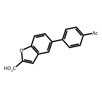 CC(=O)c1ccc(-c2ccc3oc(C(=O)O)cc3c2)cc1